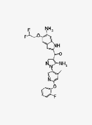 Cc1cc(Oc2ccccc2F)ncc1-n1ncc(C(=O)c2cc3cc(OCC(F)F)c(N)cc3[nH]2)c1N